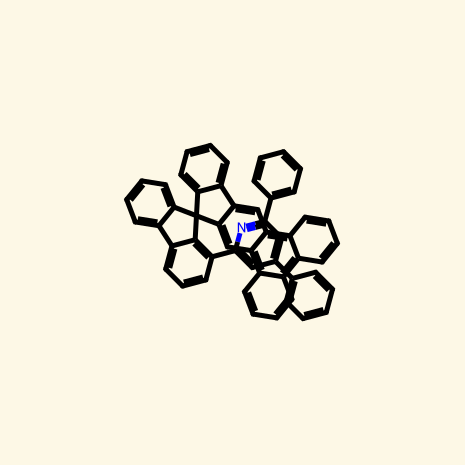 c1ccc(-c2cc(-c3ccccc3)nc(-c3cccc4c3C3(c5ccccc5-c5cc6c7ccccc7c7ccccc7c6cc53)c3ccccc3-4)c2)cc1